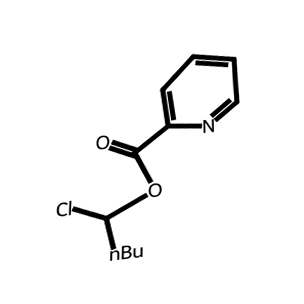 CCCCC(Cl)OC(=O)c1ccccn1